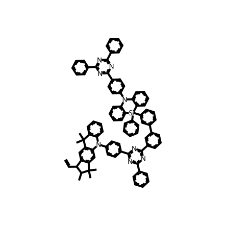 C=CC1c2cc3c(cc2C(C)(C)C1C)N(c1ccc(-c2nc(-c4ccccc4)nc(-c4cccc(-c5cccc([Si]6(c7ccccc7)c7ccccc7N(c7ccc(-c8nc(-c9ccccc9)nc(-c9ccccc9)n8)cc7)c7ccccc76)c5)c4)n2)cc1)c1ccccc1C3(C)C